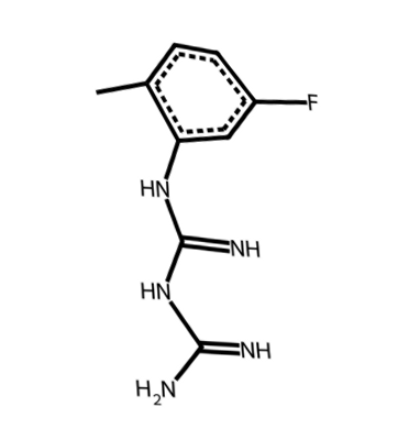 Cc1ccc(F)cc1NC(=N)NC(=N)N